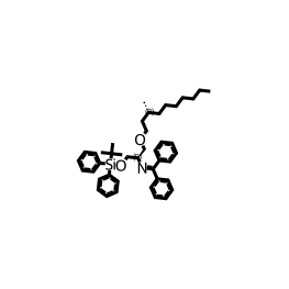 CCCCCCC[C@@H](C)CCOC[C@H](CO[Si](c1ccccc1)(c1ccccc1)C(C)(C)C)N=C(c1ccccc1)c1ccccc1